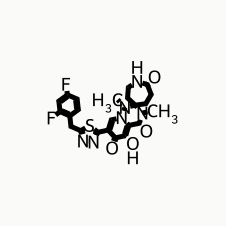 CN1C(=O)c2c(O)c(=O)c(-c3nnc(Cc4ccc(F)cc4F)s3)cn2N(C)C12CCNC(=O)CC2